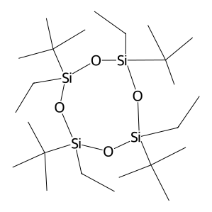 CC[Si]1(C(C)(C)C)O[Si](CC)(C(C)(C)C)O[Si](CC)(C(C)(C)C)O[Si](CC)(C(C)(C)C)O1